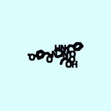 CCC(C(=O)O)N1C(=O)C(Cc2ccccc2)NC12CCN(C(=O)Cc1ccc(OC)cc1)CC2